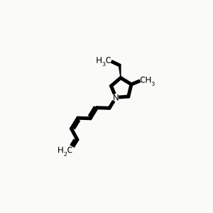 C=C/C=C\C=C\CN1CC(C)[C@H](CC)C1